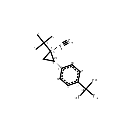 [C-]#[N+][C@@]1(C(C)(C)C)C[C@H]1c1ccc(C(F)(F)F)cc1